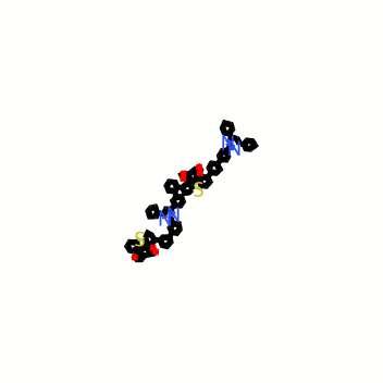 c1ccc(-c2cc(-c3ccccc3)nc(-c3ccc(-c4ccc(-c5ccc6c(c5)C5(c7cc(-c8ccccc8-c8cccc(-c9cc(-c%10ccccc%10)nc(-c%10cccc(-c%11cccc(-c%12ccc%13c(c%12)C%12(c%14ccccc%14S%13)c%13ccccc%13-c%13ccccc%13%12)c%11)c%10)n9)c8)ccc7S6)c6ccccc6-c6ccccc65)cc4)cc3)n2)cc1